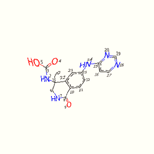 CC1(NC(=O)O)CNC(=O)c2ccc(Nc3ccncn3)cc21